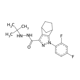 CC(C)(C)NNC(=O)c1nn(-c2ccc(F)cc2F)c2c1C1CCC2C1